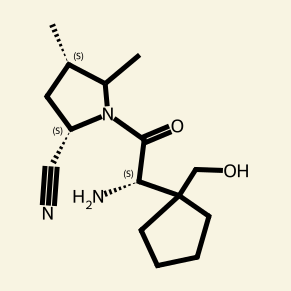 CC1[C@@H](C)C[C@@H](C#N)N1C(=O)[C@@H](N)C1(CO)CCCC1